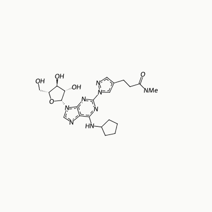 CNC(=O)CCc1cnn(-c2nc(NC3CCCC3)c3ncn([C@@H]4O[C@H](CO)[C@@H](O)[C@@H]4O)c3n2)c1